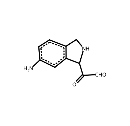 Nc1ccc2c(c1)C(C(=O)C=O)NC2